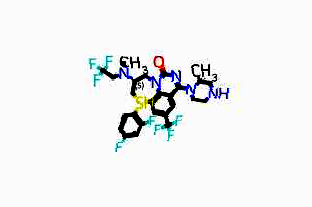 C[C@H]1CNCCN1c1nc(=O)n2c3c(cc(C(F)(F)F)cc13)[SH](c1ccc(F)cc1F)C[C@@H](N(C)CC(F)(F)F)C2